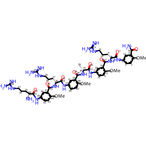 COc1ccc(NC(=O)[C@@H](CCCNC(=N)N)NC(=O)c2cc(NC(=O)[C@@H](C)NC(=O)c3cc(NC(=O)[C@@H](CCCNC(=N)N)NC(=O)c4cc(NC(=O)[C@H](N)CCCNC(=N)N)ccc4OC)ccc3OC)ccc2OC)cc1C(N)=O